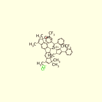 CC1=CC(C)(C)c2cc3c(cc21)-c1cc2c(cc1[CH]3[Zr+2]([C]1=C(C)C(c3ccccc3)=CC1C)=[C](c1cccc(C(F)(F)F)c1)c1cccc(C(F)(F)F)c1)C(C)(C)C=C2C.[Cl-].[Cl-]